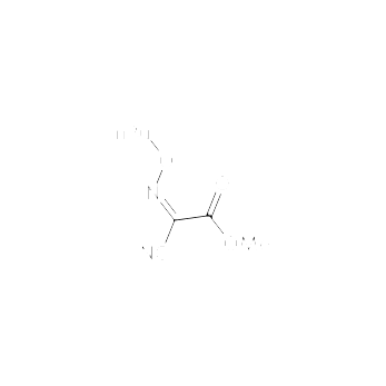 CCCCON=C(C#N)C(=O)OC